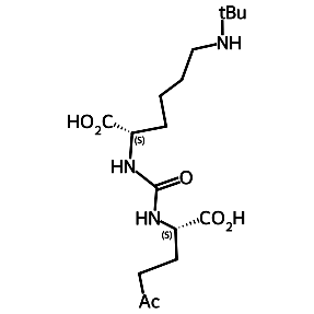 CC(=O)CC[C@H](NC(=O)N[C@@H](CCCCNC(C)(C)C)C(=O)O)C(=O)O